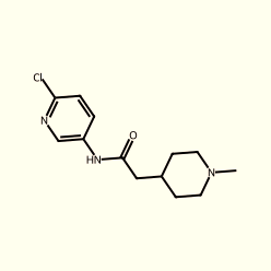 CN1CCC(CC(=O)Nc2ccc(Cl)nc2)CC1